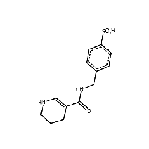 O=C(NCc1ccc(S(=O)(=O)O)cc1)C1=CNCCC1